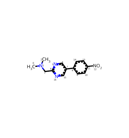 CN(C)Cc1ncc(-c2ccc([N+](=O)[O-])cc2)cn1